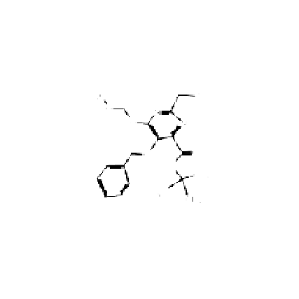 COCOc1nc(CCl)nc(C(=O)OC(C)(C)C)c1OCc1ccccc1